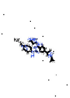 Cc1cc(Nc2nc(NC3CC4CC(CCC#N)CC(C3)N4)nc3cc(-c4cnn(C5CC5)c4)ccc23)n[nH]1